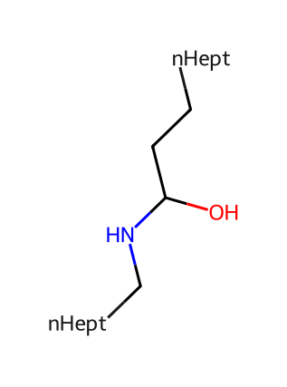 CCCCCCCCCC(O)NCCCCCCCC